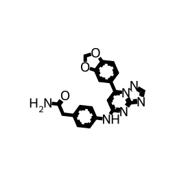 NC(=O)Cc1ccc(Nc2cc(-c3ccc4c(c3)OCO4)n3ncnc3n2)cc1